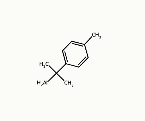 Cc1ccc([C](C)(C)[AlH2])cc1